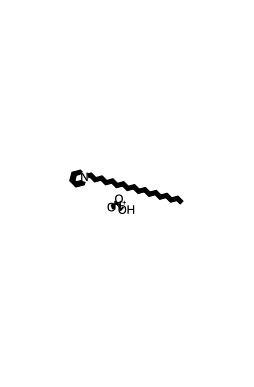 CCCCCCCCCCCCCCCCCCN1C=CC=CC1.O=[N+]([O-])O